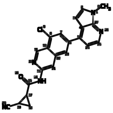 Cn1ccc2c(-c3cc(Cl)c4cnc(NC(=O)C5CC5C#N)cc4c3)ccnc21